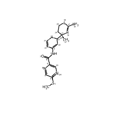 CSc1cnc(C(=O)NC2=CC([C@]3(C)CCSC(N)=N3)CC=C2)cn1